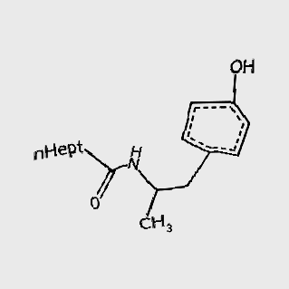 CCCCCCCC(=O)NC(C)Cc1ccc(O)cc1